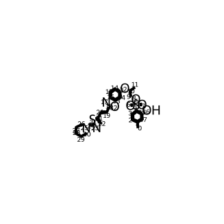 Cc1ccc(S(=O)(=O)OCC(C)Oc2ccc3nc(C=Cc4cnc(N5CCCCC5)s4)oc3c2)c(O)c1